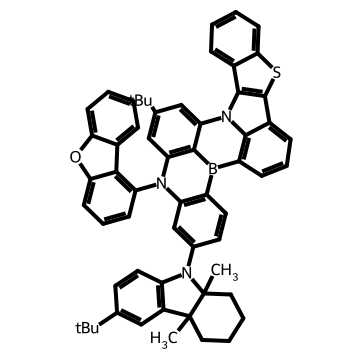 CC(C)(C)c1cc2c3c(c1)-n1c4c(cccc4c4sc5ccccc5c41)B3c1ccc(N3c4ccc(C(C)(C)C)cc4C4(C)CCCCC34C)cc1N2c1cccc2oc3ccccc3c12